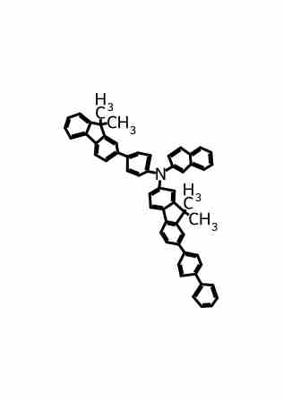 CC1(C)c2ccccc2-c2ccc(-c3ccc(N(c4ccc5c(c4)C(C)(C)c4cc(-c6ccc(-c7ccccc7)cc6)ccc4-5)c4ccc5ccccc5c4)cc3)cc21